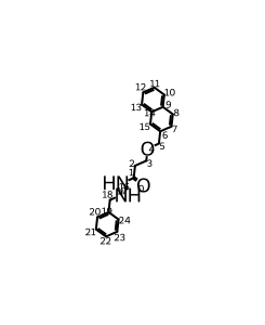 O=C(CCOCc1ccc2ccccc2c1)NNCc1ccccc1